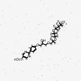 CCCCCCCCc1cnc(-c2ccc(OCC(O)COCC(F)(F)OC(F)(F)C(F)(F)OC(F)(F)C(F)(F)C(F)(F)C(F)(F)F)cc2)nc1